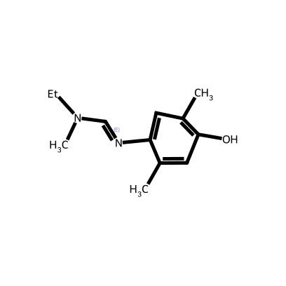 CCN(C)/C=N/c1cc(C)c(O)cc1C